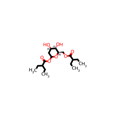 CCC(CC)C(=O)OC[C@H]1OC(OC(=O)C(CC)CC)C[C@@H](O)[C@@H]1O